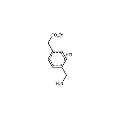 CCOC(=O)Cc1ccc(CN)cc1.Cl